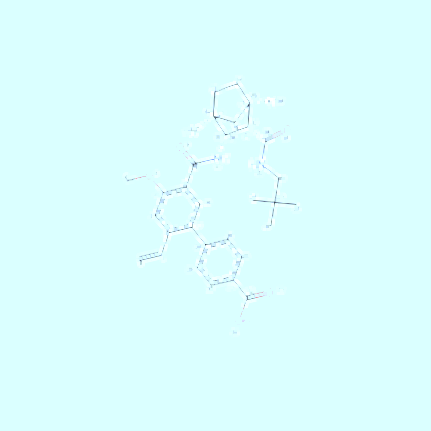 C=Cc1cc(OC)c(C(=O)N[C@@H]2[C@H]3CC[C@H](C3)[C@@H]2C(=O)NCC(C)(C)C)cc1-c1ccc(C(=O)O)cc1